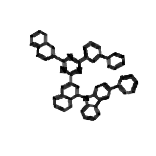 c1ccc(-c2cccc(-c3nc(-c4ccc5ccccc5c4)nc(-c4cc(-n5c6ccccc6c6cc(-c7ccccc7)ccc65)c5ccccc5c4)n3)c2)cc1